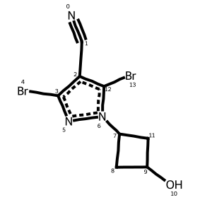 N#Cc1c(Br)nn(C2CC(O)C2)c1Br